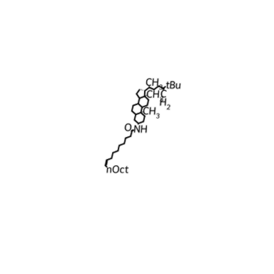 C=C(CC[C@@H](C)[C@H]1CCC2C3CCC4C[C@@H](NC(=O)CCCCCCC/C=C\CCCCCCCC)CC[C@]4(C)C3CC[C@@]21C)C(C)(C)C